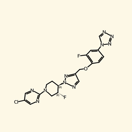 Fc1cc(-n2cnnn2)ccc1OCc1cnn([C@@H]2CCN(c3ncc(Cl)cn3)C[C@H]2F)n1